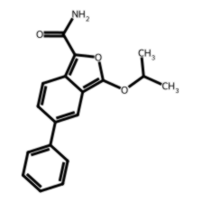 CC(C)Oc1oc(C(N)=O)c2ccc(-c3ccccc3)cc12